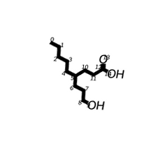 CCCCCC(CCCO)CCC(=O)O